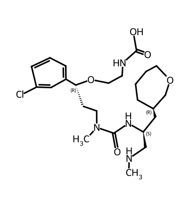 CNC[C@H](C[C@H]1CCCCOC1)NC(=O)N(C)CC[C@@H](OCCNC(=O)O)c1cccc(Cl)c1